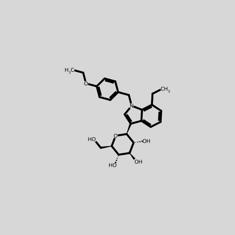 CCOc1ccc(Cn2cc([C@@H]3O[C@H](CO)[C@@H](O)[C@H](O)[C@H]3O)c3cccc(CC)c32)cc1